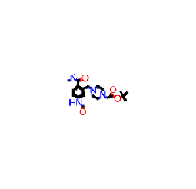 CN(C)C(=O)c1ccc(NC=O)cc1CN1CCN(CC(=O)OC(C)(C)C)CC1